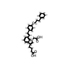 O=C(O)CCCc1cn(CC(=O)O)c2c(C=Cc3ccc(OCCCc4ccccc4)cc3)cccc12